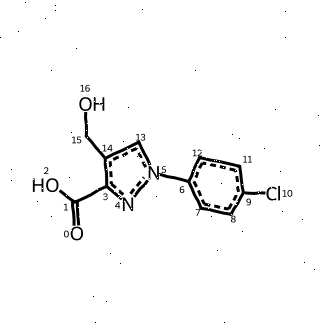 O=C(O)c1nn(-c2ccc(Cl)cc2)cc1CO